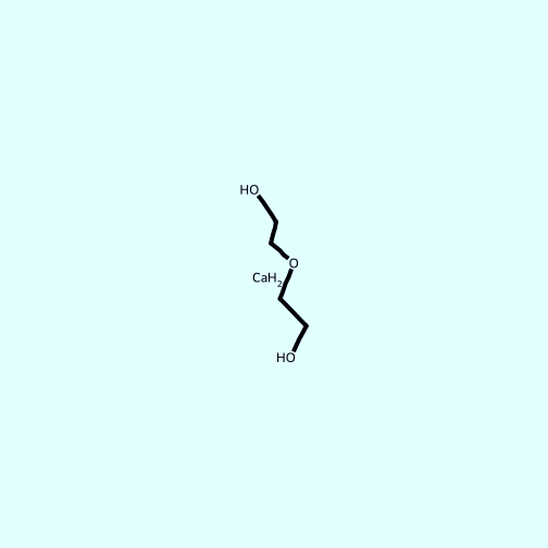 OCCOCCO.[CaH2]